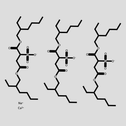 CCCCC(CC)COC(=O)CC(C(=O)OCC(CC)CCCC)S(=O)(=O)[O-].CCCCC(CC)COC(=O)CC(C(=O)OCC(CC)CCCC)S(=O)(=O)[O-].CCCCC(CC)COC(=O)CC(C(=O)OCC(CC)CCCC)S(=O)(=O)[O-].[Ca+2].[Na+]